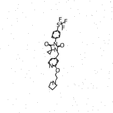 O=C1N(c2ccc(SC(F)(F)F)cc2)C(=O)C2(CC2)N1Cc1ccnc(OCCN2CCCC2)c1